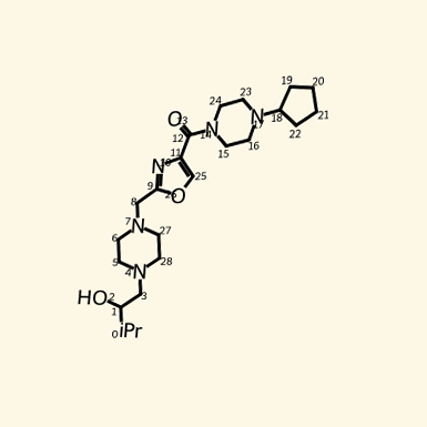 CC(C)C(O)CN1CCN(Cc2nc(C(=O)N3CCN(C4CCCC4)CC3)co2)CC1